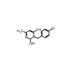 CCc1ccc(CN2C(C)=CC(C)=NC2O)cc1